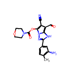 Cc1ccc(-c2nn3c(OC(=O)N4CCOCC4)c(C#N)c(C=O)c3[nH]2)cc1N